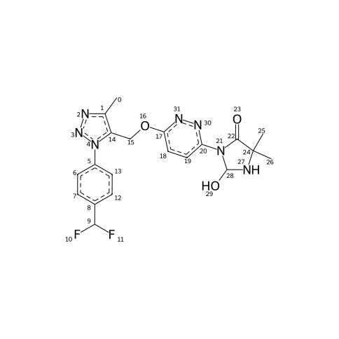 Cc1nnn(-c2ccc(C(F)F)cc2)c1COc1ccc(N2C(=O)C(C)(C)NC2O)nn1